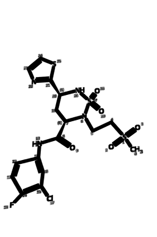 CS(=O)(=O)CCN1[C@@H](C(=O)Nc2ccc(F)c(Cl)c2)C[C@@H](c2nccs2)NS1(=O)=O